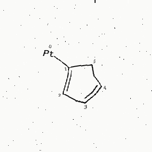 [Pt][C]1=CC=CC1